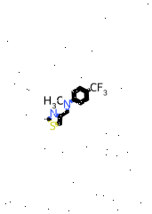 CN(Cc1cs[c]n1)c1ccc(C(F)(F)F)cc1